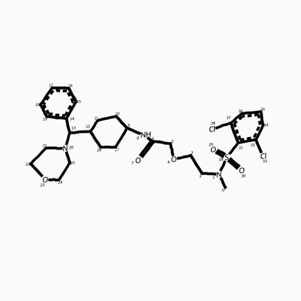 CN(CCOCC(=O)NC1CCC(C(c2ccccc2)N2CCOCC2)CC1)S(=O)(=O)c1c(Cl)cccc1Cl